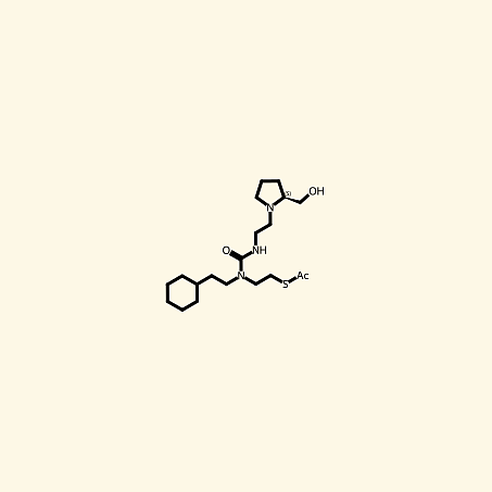 CC(=O)SCCN(CCC1CCCCC1)C(=O)NCCN1CCC[C@H]1CO